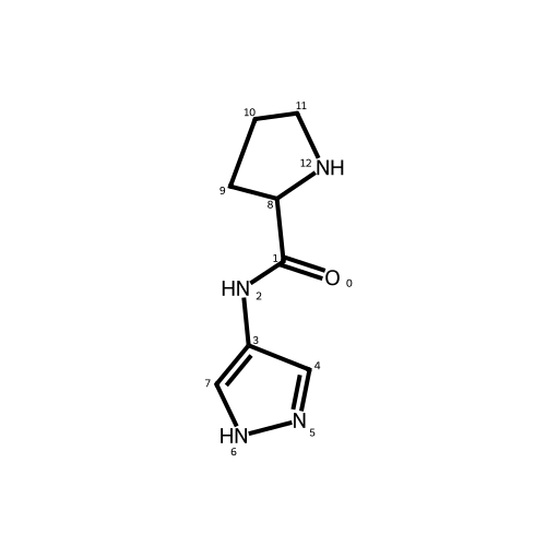 O=C(Nc1cn[nH]c1)C1CCCN1